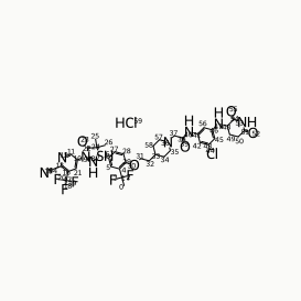 CC(F)(F)c1cc([SH]2NN(c3cnc(C#N)c(C(F)(F)F)c3)C(=O)C2(C)C)ccc1OCCC1CCN(CC(=O)Nc2cc(Cl)cc(NC3CCC(=O)NC3=O)c2)CC1.Cl